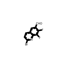 O=Cc1cc2ccc(Br)nc2c(F)c1F